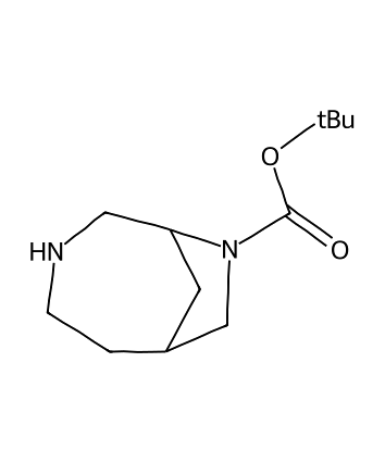 CC(C)(C)OC(=O)N1CC2CCNCC1C2